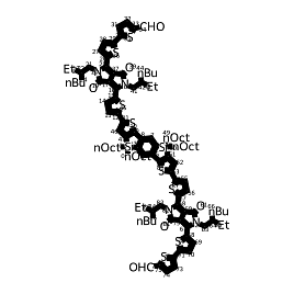 CCCCCCCC[Si]1(CCCCCCCC)c2cc3c(cc2-c2sc(-c4ccc(C5=C6C(=O)N(CC(CC)CCCC)C(c7ccc(-c8ccc(C=O)s8)s7)=C6C(=O)N5CC(CC)CCCC)s4)cc21)[Si](CCCCCCCC)(CCCCCCCC)c1cc(-c2ccc(C4=C5C(=O)N(CC(CC)CCCC)C(c6ccc(-c7ccc(C=O)s7)s6)=C5C(=O)N4CC(CC)CCCC)s2)sc1-3